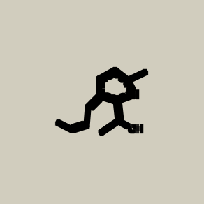 C\C=C/C=c1/ccc(C)n/c1=C(/C)O